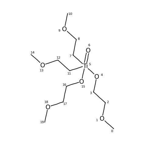 COCC[O][Ti](=[O])([CH2]COC)([CH2]COC)[O]CCOC